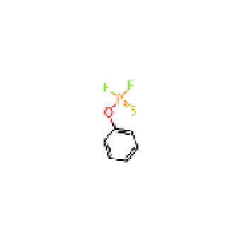 FP(F)(=S)Oc1ccccc1